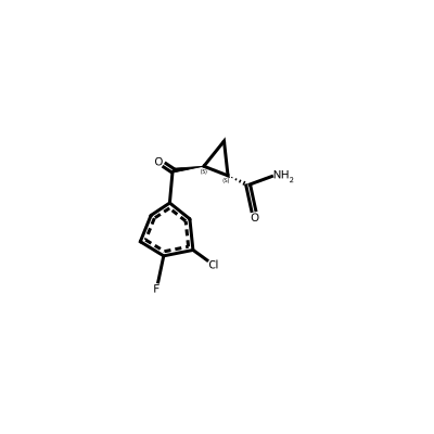 NC(=O)[C@H]1C[C@@H]1C(=O)c1ccc(F)c(Cl)c1